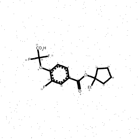 CCC1(OC(=O)c2ccc(OC(F)(F)C(=O)O)c(F)c2)CCCC1